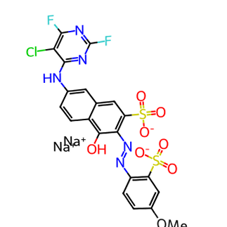 COc1ccc(N=Nc2c(S(=O)(=O)[O-])cc3cc(Nc4nc(F)nc(F)c4Cl)ccc3c2O)c(S(=O)(=O)[O-])c1.[Na+].[Na+]